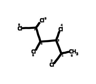 CC(Cl)C(Cl)C(Cl)C(Cl)Cl